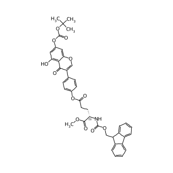 COC(=O)[C@H](CCC(=O)Oc1ccc(-c2coc3cc(OC(=O)OC(C)(C)C)cc(O)c3c2=O)cc1)NC(=O)OCC1c2ccccc2-c2ccccc21